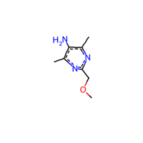 COCc1nc(C)c(N)c(C)n1